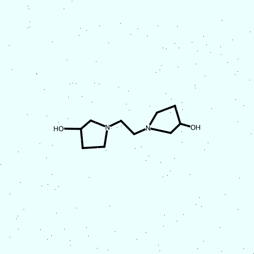 OC1CCN(CCN2CCC(O)C2)C1